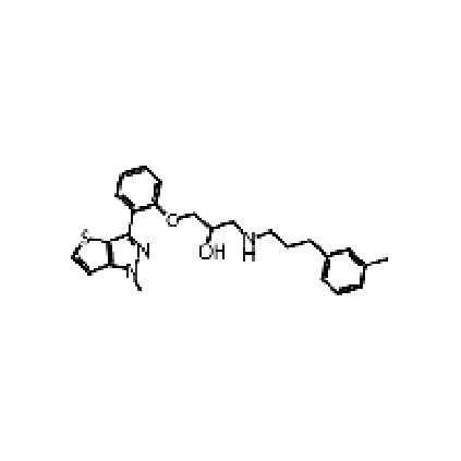 Cc1cccc(CCCNCC(O)COc2ccccc2-c2nn(C)c3ccsc23)c1